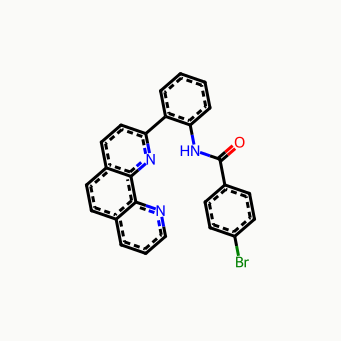 O=C(Nc1ccccc1-c1ccc2ccc3cccnc3c2n1)c1ccc(Br)cc1